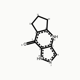 O=c1c2c([nH]c3cn[nH]c13)CCC2